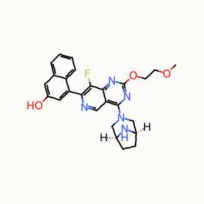 COCCOc1nc(N2C[C@H]3CC[C@@H](C2)N3)c2cnc(-c3cc(O)cc4ccccc34)c(F)c2n1